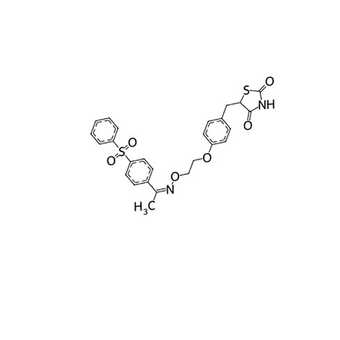 C/C(=N/OCCOc1ccc(CC2SC(=O)NC2=O)cc1)c1ccc(S(=O)(=O)c2ccccc2)cc1